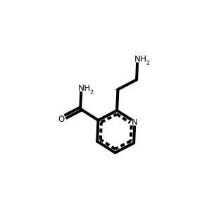 NC[CH]c1ncccc1C(N)=O